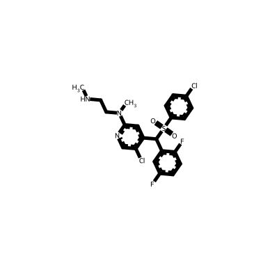 CNCCN(C)c1cc(C(c2cc(F)ccc2F)S(=O)(=O)c2ccc(Cl)cc2)c(Cl)cn1